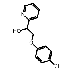 OC(COc1ccc(Cl)cc1)c1ccccn1